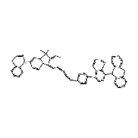 C=Cc1c(N2c3ccccc3Cc3ccccc32)ccc(-c2ccc(C=C=C=C/C=C3\C(=C/C)C(C)(C)C4C=C(N5C=CCc6ccccc65)C=CC34)cc2)c1/C=C\C